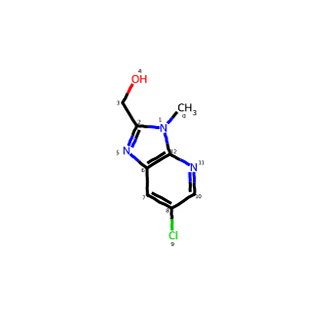 Cn1c(CO)nc2cc(Cl)cnc21